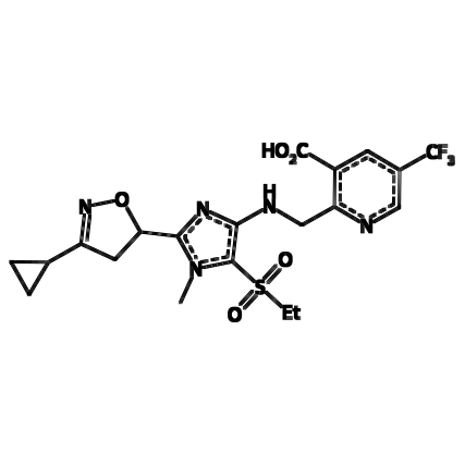 CCS(=O)(=O)c1c(NCc2ncc(C(F)(F)F)cc2C(=O)O)nc(C2CC(C3CC3)=NO2)n1C